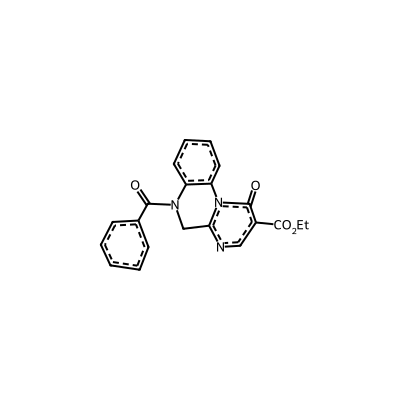 CCOC(=O)c1cnc2n(c1=O)-c1ccccc1N(C(=O)c1ccccc1)C2